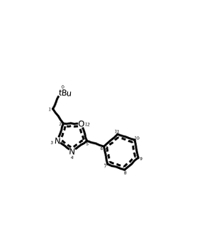 CC(C)(C)Cc1nnc(-c2[c]cccc2)o1